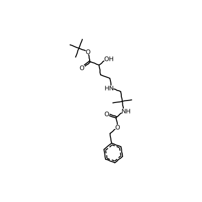 CC(C)(CNCCC(O)C(=O)OC(C)(C)C)NC(=O)OCc1ccccc1